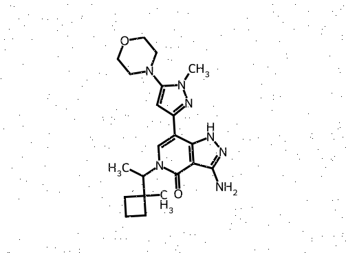 CC(n1cc(-c2cc(N3CCOCC3)n(C)n2)c2[nH]nc(N)c2c1=O)C1(C)CCC1